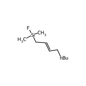 CCCCC/C=C/C[Si](C)(C)F